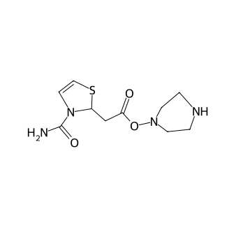 NC(=O)N1C=CSC1CC(=O)ON1CCNCC1